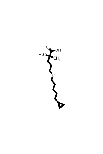 CC(C)(CCCOCCCCCC1CC1)C(=O)O